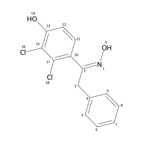 ON=C(Cc1ccccc1)c1ccc(O)c(Cl)c1Cl